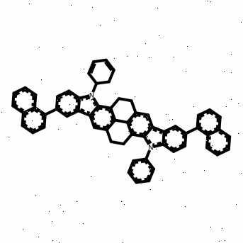 C1=CCC(n2c3ccc(-c4cccc5ccccc45)cc3c3cc4c5c(c32)CCc2cc3c6cc(-c7cccc8ccccc78)ccc6n(-c6ccccc6)c3c(c2-5)CC4)C=C1